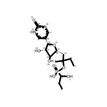 CCC(O)P(=O)(O)OC(C)(CC)C[C@H]1O[C@@H](c2cnc(=O)[nH]c2)[C@@H](O)C1O